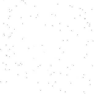 CC1(C)c2ccccc2-c2ccc(-c3nc(-n4c5cc6ccccc6cc5c5c6ccccc6ccc54)nc4nccnc34)cc21